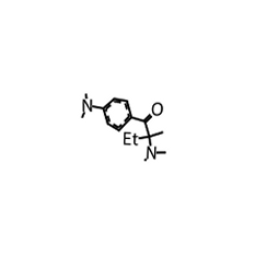 CCC(C)(C(=O)c1ccc(N(C)C)cc1)N(C)C